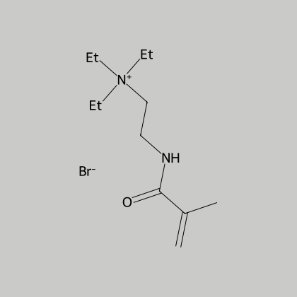 C=C(C)C(=O)NCC[N+](CC)(CC)CC.[Br-]